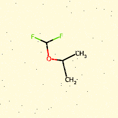 [CH2]C(C)OC(F)F